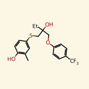 CCC(O)(COc1ccc(C(F)(F)F)cc1)CSc1ccc(O)c(C)c1